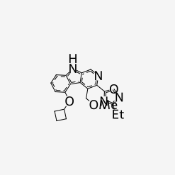 CCc1noc(-c2ncc3[nH]c4cccc(OC5CCC5)c4c3c2COC)n1